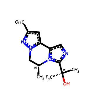 C[C@H]1Cn2nc(C=O)cc2-c2cnc([C@@](C)(O)C(F)(F)F)n21